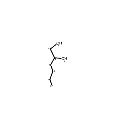 CC[CH]CC(O)CO